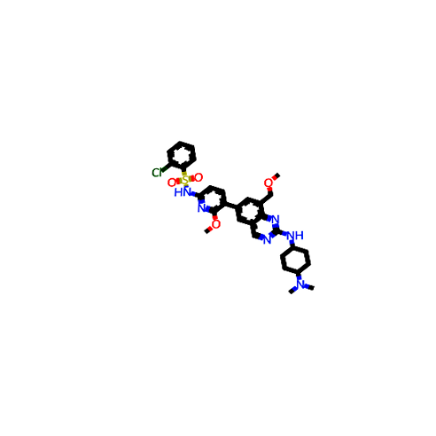 COCc1cc(-c2ccc(NS(=O)(=O)c3ccccc3Cl)nc2OC)cc2cnc(NC3CCC(N(C)C)CC3)nc12